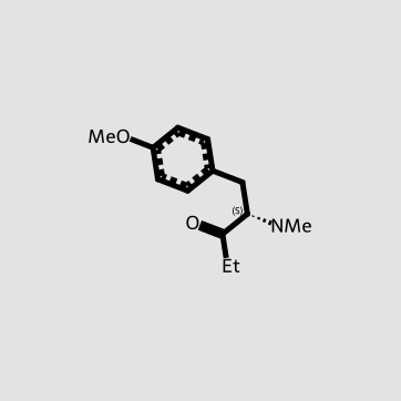 CCC(=O)[C@H](Cc1ccc(OC)cc1)NC